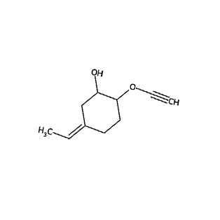 C#COC1CC/C(=C/C)CC1O